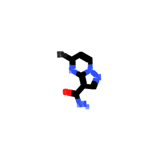 CCc1ccn2ncc(C(N)=O)c2n1